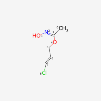 CC(=NO)OCC=CCl